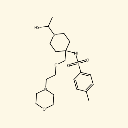 Cc1ccc(S(=O)(=O)NC2(COCCN3CCOCC3)CCN(C(C)S)CC2)cc1